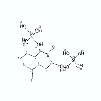 CC(C)CCCO.CCCCCC.O[Si](O)(O)O.O[Si](O)(O)O